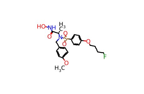 COc1ccc(CN([C@H](C)C(=O)NO)S(=O)(=O)c2ccc(OCCCCF)cc2)cc1